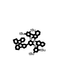 CC(C)(C)c1cc(C(C)(C)C)c2c3c4ccccc4cc4c3n(c2c1)-c1cc(-c2ccc3c(c2)C2(c5ccccc5-c5ccccc52)c2ccccc2-3)cc2c1B4c1cc3ccccc3c3c4c(C(C)(C)C)cc(C(C)(C)C)cc4n-2c13